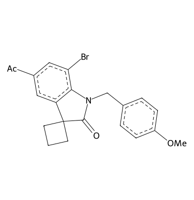 COc1ccc(CN2C(=O)C3(CCC3)c3cc(C(C)=O)cc(Br)c32)cc1